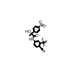 CC(O)(C(=O)Nc1ccc(C#N)c(C(F)(F)F)c1)c1ccc([N+](=O)[O-])cc1